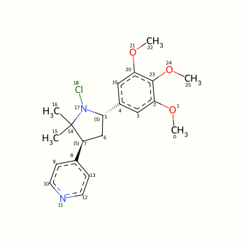 COc1cc([C@@H]2C[C@@H](c3ccncc3)C(C)(C)N2Cl)cc(OC)c1OC